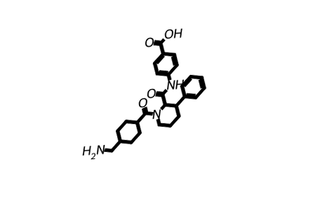 NCC1CCC(C(=O)N2CCCC(c3ccccc3)C2C(=O)Nc2ccc(C(=O)O)cc2)CC1